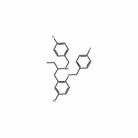 CCC(Cc1cc(Cl)ccc1OCc1ccc(F)cc1)NCc1ccc(F)cc1